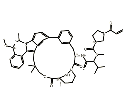 C=CC(=O)N1CC[C@H](C(=O)N(C)C(C(=O)N[C@H]2Cc3cccc(c3)-c3ccc4c(c3)c(c(-c3cccnc3[C@H](C)OC)n4C(C)F)CC(C)(C)COC(=O)[C@@H]3CCCN(N3)C2=O)C(C)C)C1